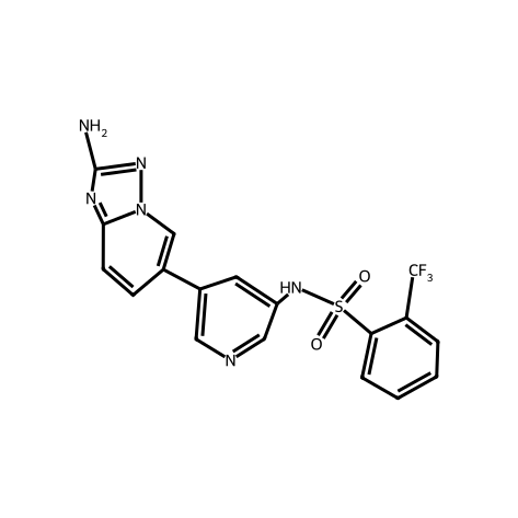 Nc1nc2ccc(-c3cncc(NS(=O)(=O)c4ccccc4C(F)(F)F)c3)cn2n1